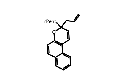 C=CCC1(CCCCC)C=Cc2c(ccc3ccccc23)O1